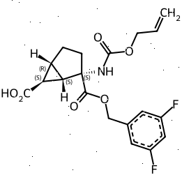 C=CCOC(=O)N[C@@]1(C(=O)OCc2cc(F)cc(F)c2)CC[C@H]2[C@H](C(=O)O)[C@H]21